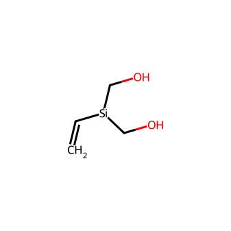 C=C[Si](CO)CO